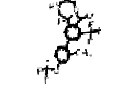 Cc1cc(OC(F)(F)F)ccc1-c1cc2c(c(C(F)(F)F)c1)C(=O)N1CCNC[C@@H]21